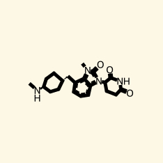 CN[C@H]1CC[C@H](Cc2cccc3c2n(C)c(=O)n3C2CCC(=O)NC2=O)CC1